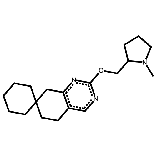 CN1CCCC1COc1ncc2c(n1)CC1(CCCCC1)CC2